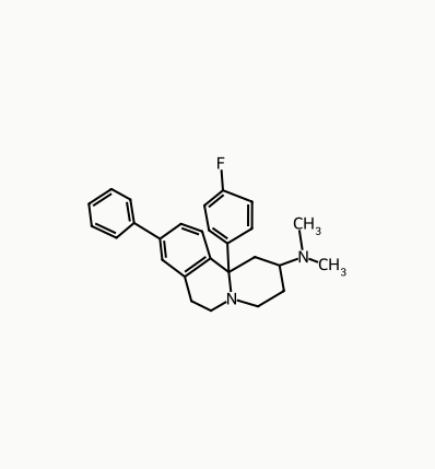 CN(C)C1CCN2CCc3cc(-c4ccccc4)ccc3C2(c2ccc(F)cc2)C1